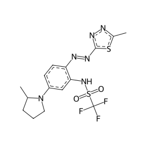 Cc1nnc(N=Nc2ccc(N3CCCC3C)cc2NS(=O)(=O)C(F)(F)F)s1